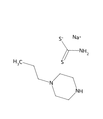 CCCN1CCNCC1.NC(=S)[S-].[Na+]